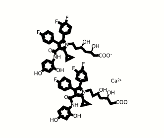 O=C([O-])C[C@H](O)C[C@H](O)CCn1c(-c2ccc(F)c(F)c2)c(-c2ccc(F)cc2)c(C(=O)Nc2ccc(O)cc2O)c1C1CC1.O=C([O-])C[C@H](O)C[C@H](O)CCn1c(-c2ccc(F)c(F)c2)c(-c2ccc(F)cc2)c(C(=O)Nc2ccc(O)cc2O)c1C1CC1.[Ca+2]